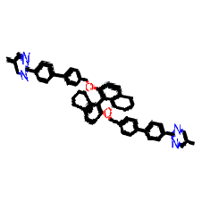 Cc1cnc(-c2ccc(-c3ccc(COc4ccc5c(c4-c4c(OCc6ccc(-c7ccc(-c8ncc(C)cn8)cc7)cc6)ccc6c4CCCC6)CCCC5)cc3)cc2)nc1